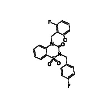 O=C1N(Cc2c(F)cccc2Cl)c2ccccc2S(=O)(=O)N1Cc1ccc(F)cc1